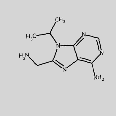 CC(C)n1c(CN)nc2c(N)ncnc21